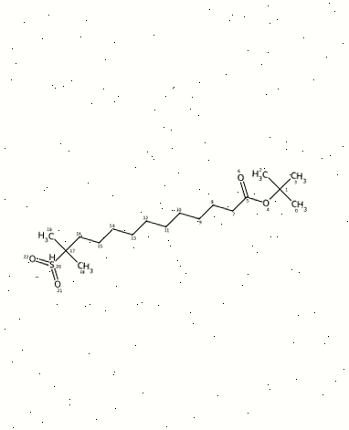 CC(C)(C)OC(=O)CCCCCCCCCCC(C)(C)[SH](=O)=O